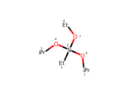 CCO[Si](CC)(OC(C)C)OC(C)C